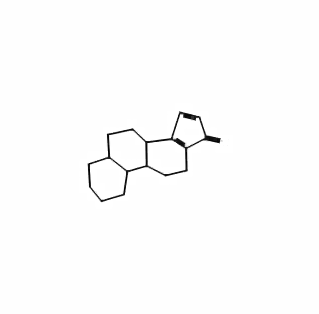 O=C1C=CC2=C1CCC1C2CCC2CCCCC21